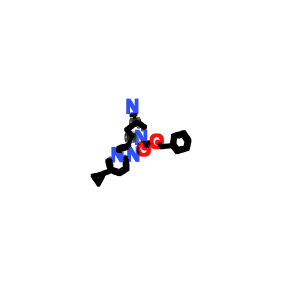 N#C[C@H]1C[C@H](c2cn3cc(C4CC4)ccc3n2)N(C(=O)OCc2ccccc2)C1